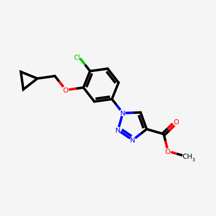 COC(=O)c1cn(-c2ccc(Cl)c(OCC3CC3)c2)nn1